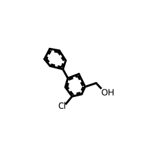 OCc1cc(Cl)cc(-c2ccccc2)c1